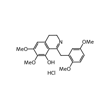 COc1ccc(OC)c(CC2=NCCc3cc(OC)c(OC)c(O)c32)c1.Cl